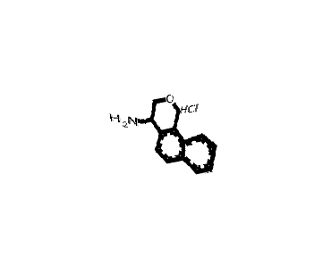 Cl.NC1COCc2c1ccc1ccccc21